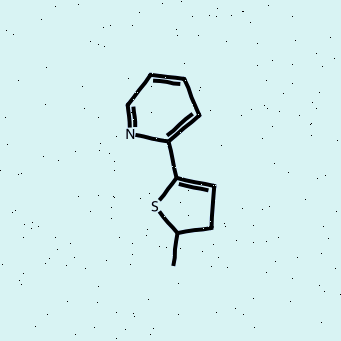 CC1CC=C(c2ccccn2)S1